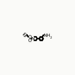 C[Si](C)(C)CCOC(=O)N1CCC(c2cccc(CN)c2)CC1